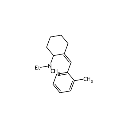 CCN(C)C1CCCC/C1=C/c1ccccc1C